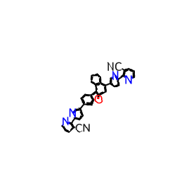 N#Cc1cccnc1-c1ccc(-c2ccc3c(c2)oc2cc(-c4ccc(-c5ncccc5C#N)nc4)c4ccccc4c23)cn1